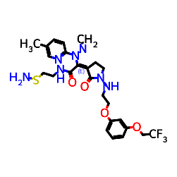 C=NN(/C(C(=O)NCCSN)=C1\CCN(NCCOc2cccc(OCC(F)(F)F)c2)C1=O)c1ccc(C)cn1